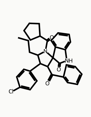 CCCC1C(c2ccc(Cl)cc2)C(C(=O)c2ccccc2)C2(C(=O)Nc3ccccc32)N1C(=O)C1CCCC1